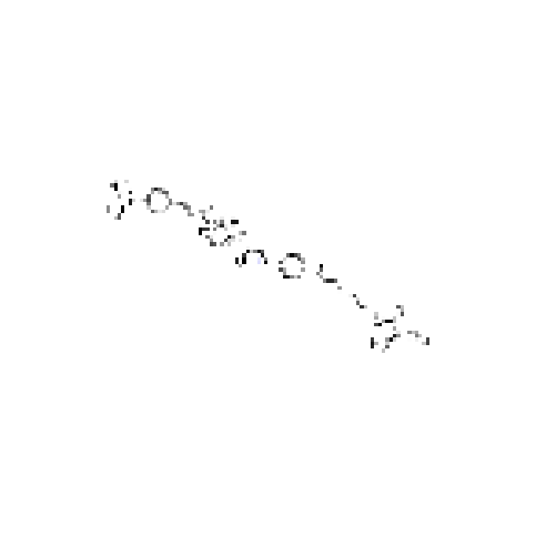 C=C(C)C(=O)OCCCCCCOc1ccc(/C=C/C(=O)O[C@@H]2CO[C@H]3[C@@H]2OC[C@@H]3C=Cc2ccc(C(=C)C)cc2)cc1